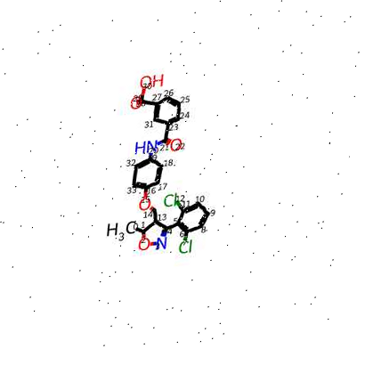 CC1ON=C(c2c(Cl)cccc2Cl)C1COc1ccc(NC(=O)c2cccc(C(=O)O)c2)cc1